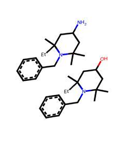 CCC1(C)CC(N)CC(C)(C)N1Cc1ccccc1.CCC1(C)CC(O)CC(C)(C)N1Cc1ccccc1